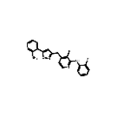 Nc1ncccc1-c1cc(Cc2ccnc(Nc3ccccc3F)c2F)no1